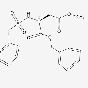 COC(=O)C[C@H](NS(=O)(=O)Cc1ccccc1)C(=O)OCc1ccccc1